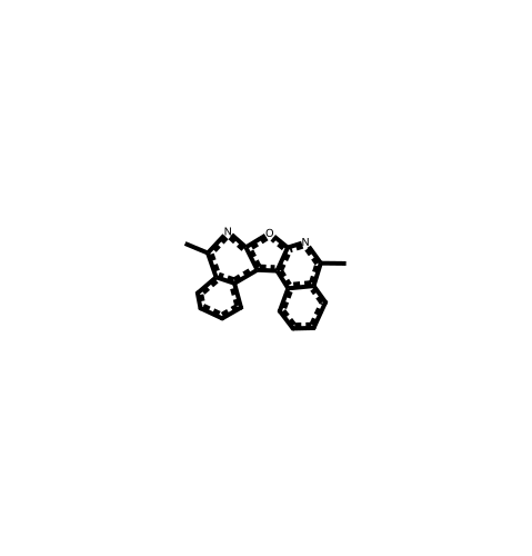 Cc1nc2oc3nc(C)c4ccccc4c3c2c2ccccc12